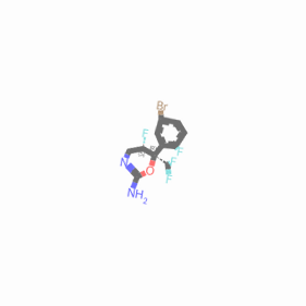 NC1=NC[C@H](F)[C@](c2cc(Br)ccc2F)(C(F)F)O1